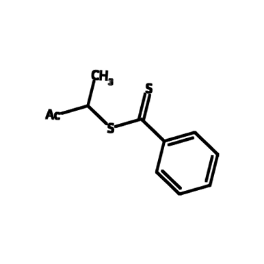 CC(=O)C(C)SC(=S)c1ccccc1